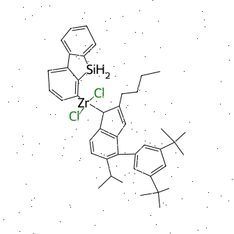 CCCCC1=Cc2c(ccc(C(C)C)c2-c2cc(C(C)(C)C)cc(C(C)(C)C)c2)[CH]1[Zr]([Cl])([Cl])[c]1cccc2c1[SiH2]c1ccccc1-2